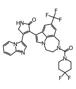 O=C1NCC(c2cnc3ccccn23)=C1c1cn2c3c(cc(C(F)(F)F)cc13)CN(C(=O)N1CCC(F)(F)CC1)CC2